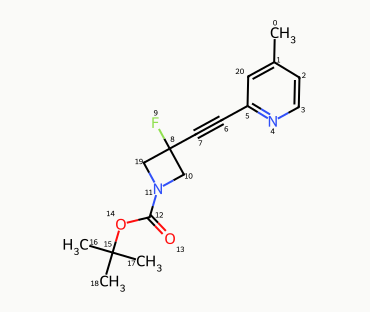 Cc1ccnc(C#CC2(F)CN(C(=O)OC(C)(C)C)C2)c1